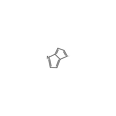 [C]1=CC=C2N=CC=C12